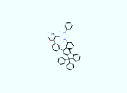 c1ccc(-c2nc(-c3ccccc3)nc(-c3cncc4oc5ccc(-c6ccc7c(c6)C(c6ccccc6)(c6ccccc6)c6ccccc6-7)cc5c34)n2)cc1